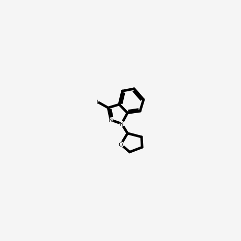 Ic1nn(C2CCCO2)c2ccccc12